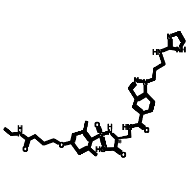 CCNC(=O)CCCOc1cc(C)c(S(=O)(=O)N[C@@H](CNC(=O)c2ccc3c(cnn3CCCNc3ncc[nH]3)c2)C(=O)O)c(C)c1